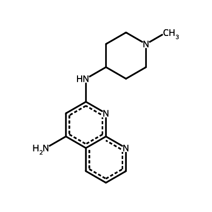 CN1CCC(Nc2cc(N)c3cccnc3n2)CC1